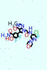 Cn1cnc2c(c(-c3cc(C(N)=O)c(O)c(F)c3F)cn2CC(=O)Nc2cc(N3CCOCC3)nc(F)c2Cl)c1=O